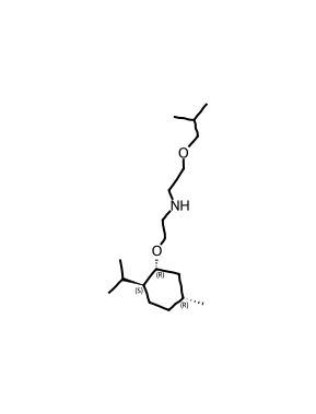 CC(C)COCCNCCO[C@@H]1C[C@H](C)CC[C@H]1C(C)C